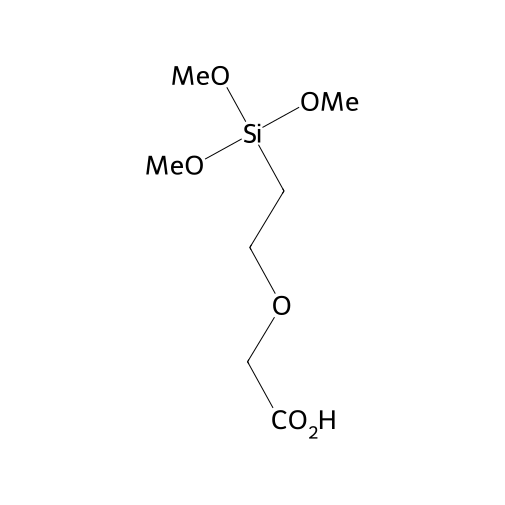 CO[Si](CCOCC(=O)O)(OC)OC